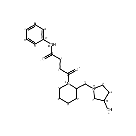 O=C(CCC(=O)N1CCCCC1CN1CCC(O)C1)Nc1ccccc1